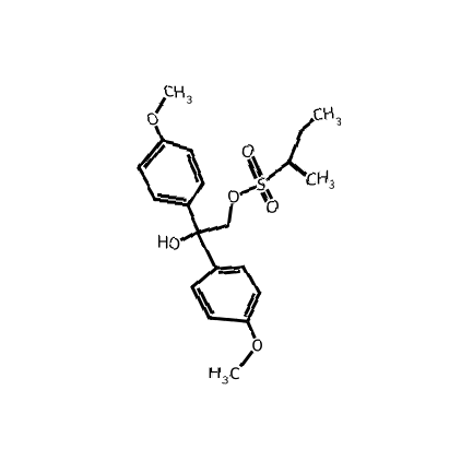 CCC(C)S(=O)(=O)OCC(O)(c1ccc(OC)cc1)c1ccc(OC)cc1